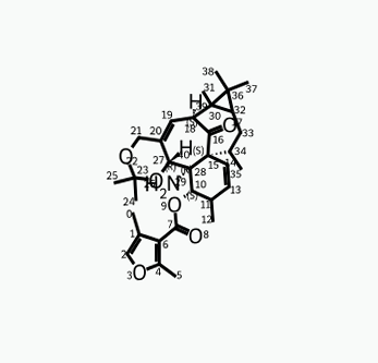 Cc1coc(C)c1C(=O)O[C@H]1C(C)C=C[C@]23C(=O)[C@@H](C=C4COC(C)(C)O[C@H]4[C@]12N)C1(C)C(CC3C)C1(C)C